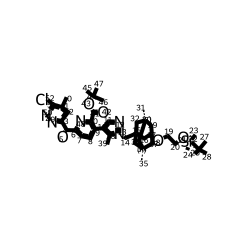 Cc1cc(C(=O)c2ccc(-c3cnn(CC45CC6(OCCO[Si](C)(C)C(C)(C)C)C[C@](C)(C4)C[C@](C)(C5)C6)c3C)c(C(=O)OC(C)(C)C)n2)nnc1Cl